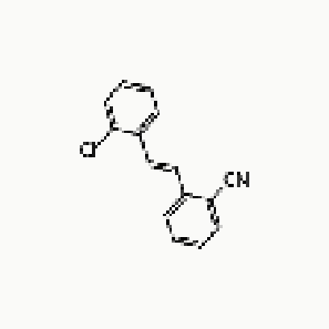 N#Cc1ccccc1C=Cc1ccccc1Cl